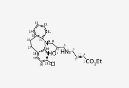 CCOC(=O)/C=C/CNCC(O)CN1c2ccccc2CCc2ccc(Cl)cc21